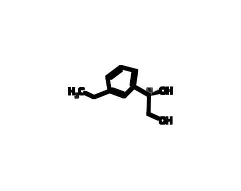 CCc1cccc([C@H](O)CO)c1